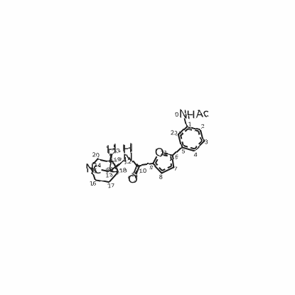 CC(=O)Nc1cccc(-c2ccc(C(=O)N[C@H]3CN4CCC3CC4)o2)c1